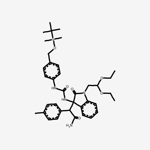 CCOC(CN1C(=O)C(NC(=O)Nc2ccc(CO[Si](C)(C)C(C)(C)C)cc2)(C(C(N)=O)c2ccc(C)cc2)c2ccccc21)OCC